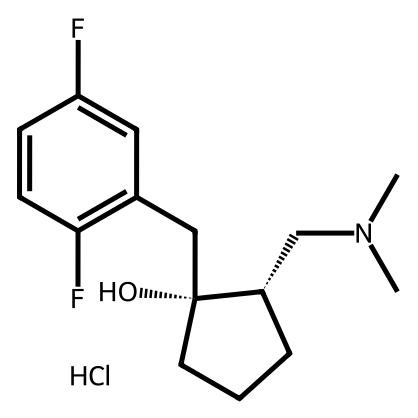 CN(C)C[C@@H]1CCC[C@@]1(O)Cc1cc(F)ccc1F.Cl